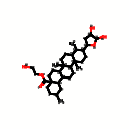 CC1CCC2(C(=O)OCCO)CCC3C(=CCC4C3(C)CCC3C(C)C(C5CC(O)C(O)O5)CCC34C)C2C1